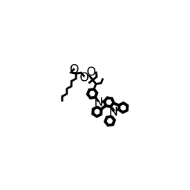 CCCCCCCC1(COC(=O)C(C)(CC)C(CC)c2cccc(-n3c4ccccc4c4c3ccc3c5ccccc5n(-c5ccccc5)c34)c2)CO1